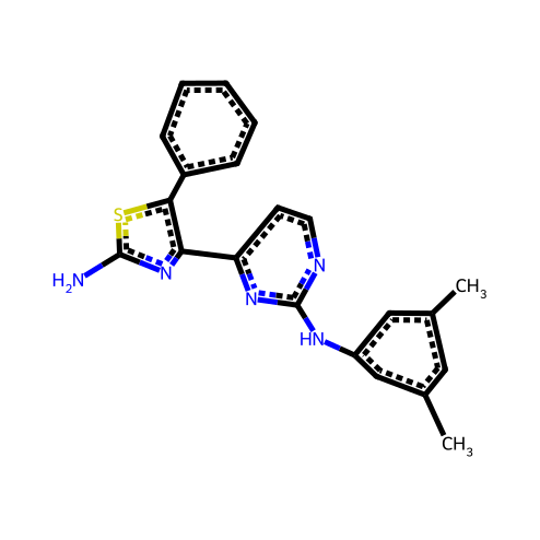 Cc1cc(C)cc(Nc2nccc(-c3nc(N)sc3-c3ccccc3)n2)c1